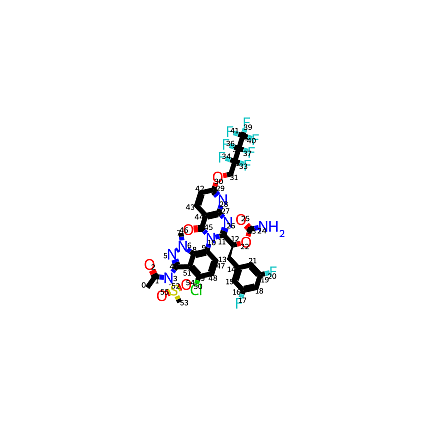 CC(=O)N(c1nn(C)c2c(-n3c([C@H](Cc4cc(F)cc(F)c4)OC(N)=O)nc4nc(OCC(F)(F)C(F)(F)C(F)(F)F)ccc4c3=O)ccc(Cl)c12)S(C)(=O)=O